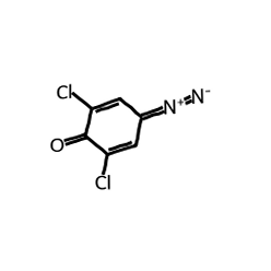 [N-]=[N+]=C1C=C(Cl)C(=O)C(Cl)=C1